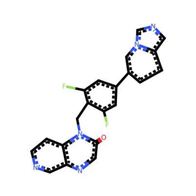 O=c1cnc2cnccc2n1Cc1c(F)cc(-c2ccc3cncn3c2)cc1F